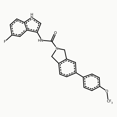 O=C(Nc1c[nH]c2ccc(F)cc12)N1Cc2ccc(-c3ccc(OC(F)(F)F)cc3)cc2C1